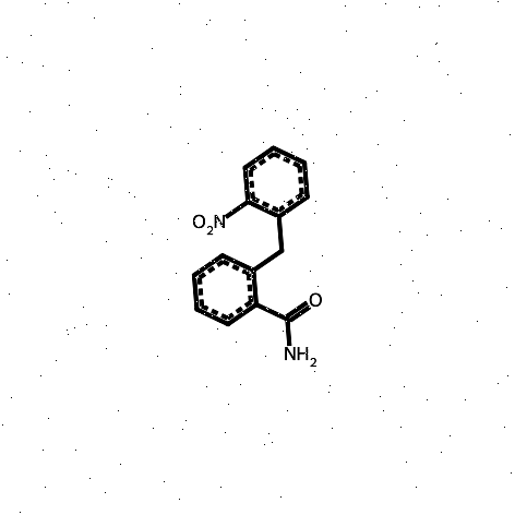 NC(=O)c1ccccc1Cc1ccccc1[N+](=O)[O-]